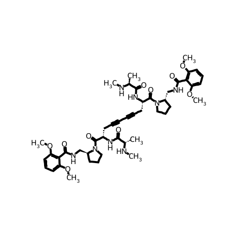 CN[C@@H](C)C(=O)N[C@@H](CC#CC#CC[C@H](NC(=O)[C@H](C)NC)C(=O)N1CCC[C@H]1CNC(=O)c1c(OC)cccc1OC)C(=O)N1CCC[C@H]1CNC(=O)c1c(OC)cccc1OC